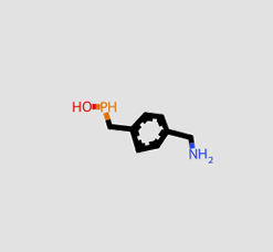 NCc1ccc(CPO)cc1